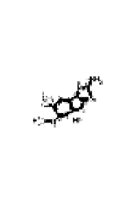 COc1cc2c(cc1OC)-c1nc(N)sc1C2.I